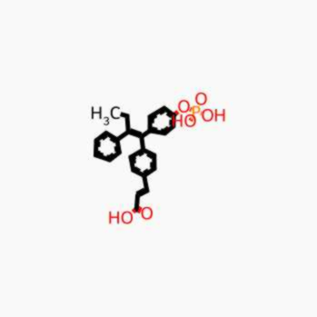 CCC(=C(c1ccc(C=CC(=O)O)cc1)c1ccc(OP(=O)(O)O)cc1)c1ccccc1